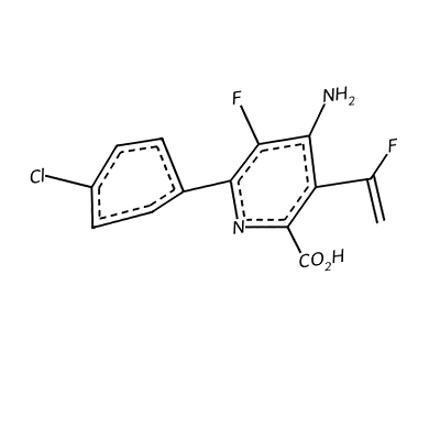 C=C(F)c1c(C(=O)O)nc(-c2ccc(Cl)cc2)c(F)c1N